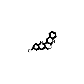 Clc1ccc2nc3c(cc2c1)COc1nc2ccccc2cc1-3